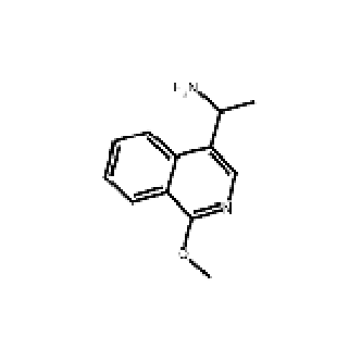 COc1ncc(C(C)N)c2ccccc12